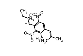 CCC(C)Nc1c([N+](=O)[O-])cc(C=C(C)C)c(C)c1[N+](=O)[O-]